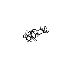 C[C@H]1c2oncc2C[C@]2(C)C3=CC(=O)[C@@H]4[C@@H]5CC(C)(C)CC[C@]5(C(=O)Cl)CC[C@@]4(C)[C@]3(C)CCC12